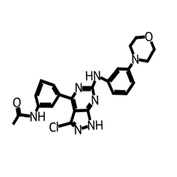 CC(=O)Nc1cccc(-c2nc(Nc3cccc(N4CCOCC4)c3)nc3[nH]nc(Cl)c23)c1